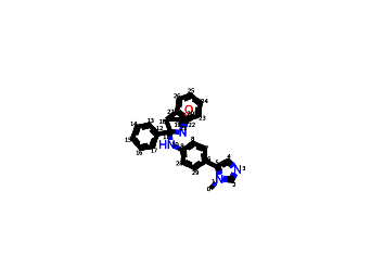 Cn1cncc1-c1ccc(NC2(c3ccccc3)C3C(=O)N2c2ccccc23)cc1